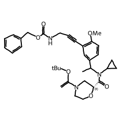 C=C(OC(C)(C)C)N1CCO[C@@H](C(=O)N(C2CC2)C(C)c2ccc(OC)c(C#CCNC(=O)OCc3ccccc3)c2)C1